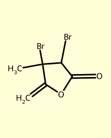 C=C1OC(=O)C(Br)C1(C)Br